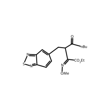 CCCCC(=O)C(Cc1ccc2nsnc2c1)C(=NOC)C(=O)OCC